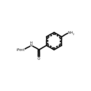 CCCC(C)NC(=O)c1ccc(N)cc1